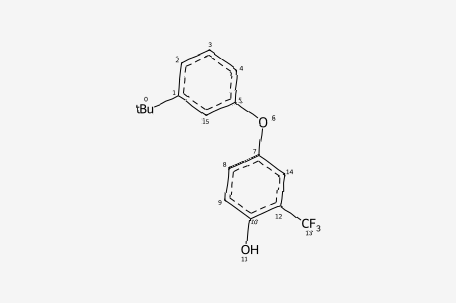 CC(C)(C)c1cccc(Oc2ccc(O)c(C(F)(F)F)c2)c1